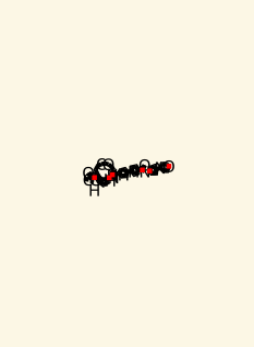 COC(=O)N[C@]1(C)CCCCOCc2[nH]c(nc2-c2ccc(-c3ccc(C(=O)Nc4ccc(N5CCOCC5)cc4)cc3)cc2)[C@@H]2CCCN2C1=O